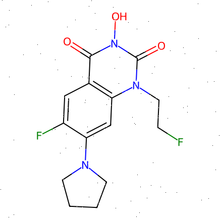 O=c1c2cc(F)c(N3CCCC3)cc2n(CCF)c(=O)n1O